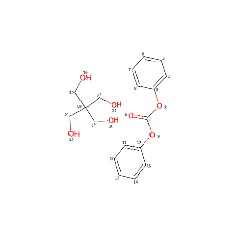 O=C(Oc1ccccc1)Oc1ccccc1.OCC(CO)(CO)CO